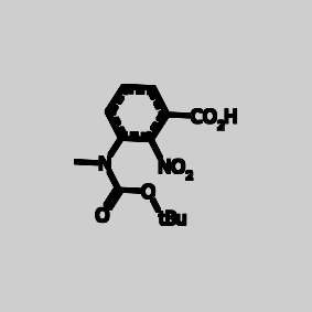 CN(C(=O)OC(C)(C)C)c1cccc(C(=O)O)c1[N+](=O)[O-]